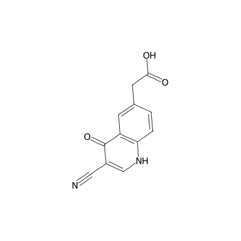 N#Cc1c[nH]c2ccc(CC(=O)O)cc2c1=O